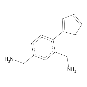 NCc1ccc(C2=CC=C[CH]2)c(CN)c1